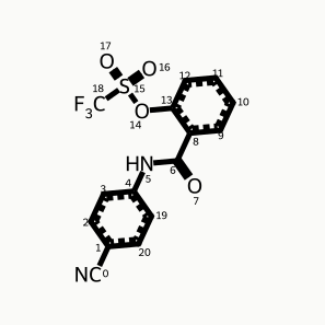 N#Cc1ccc(NC(=O)c2ccccc2OS(=O)(=O)C(F)(F)F)cc1